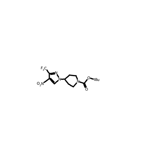 CC(C)(C)OC(=O)N1CCC(n2cc([N+](=O)[O-])c(C(F)(F)F)n2)CC1